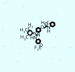 Cc1ccccc1NC(=O)COc1ccc2c(c1)nc(Nc1ccc(OC(F)(F)F)cc1)n2C1CC(C)CC(C)(C)C1